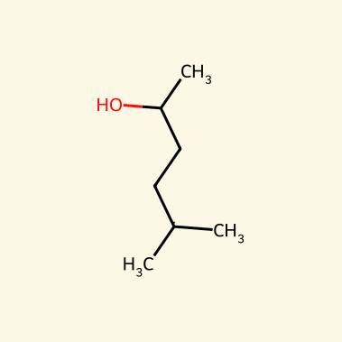 C[C](C)CCC(C)O